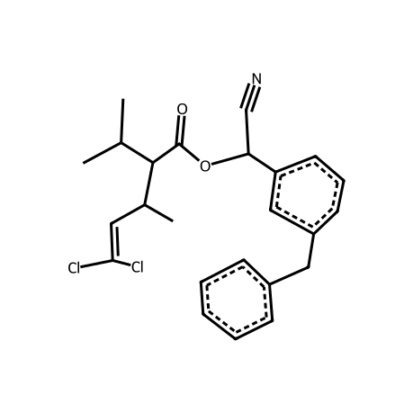 CC(C)C(C(=O)OC(C#N)c1cccc(Cc2ccccc2)c1)C(C)C=C(Cl)Cl